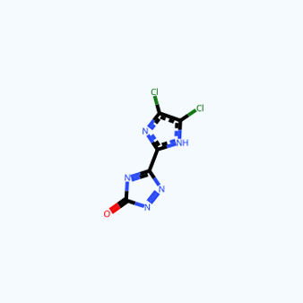 O=C1N=NC(c2nc(Cl)c(Cl)[nH]2)=N1